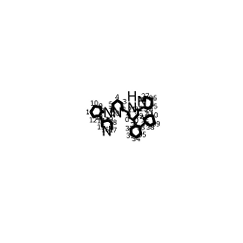 C1=C(c2cccc(-n3c4ccccc4c4cnccc43)n2)NC(c2ccccn2)C=C1c1ccccc1-c1ccccc1